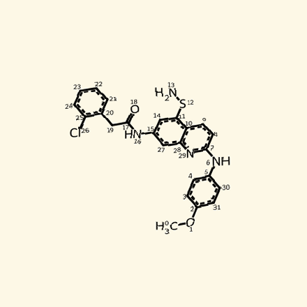 COc1ccc(Nc2ccc3c(SN)cc(NC(=O)Cc4ccccc4Cl)cc3n2)cc1